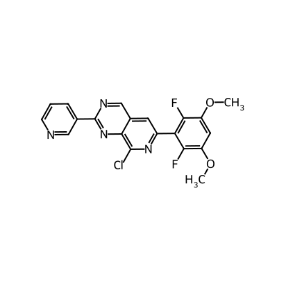 COc1cc(OC)c(F)c(-c2cc3cnc(-c4cccnc4)nc3c(Cl)n2)c1F